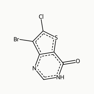 O=c1[nH]cnc2c(Br)c(Cl)sc12